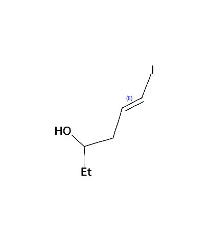 CCC(O)C/C=C/I